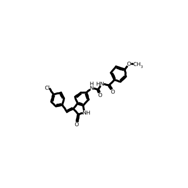 COc1ccc(C(=O)NC(=O)Nc2ccc3c(c2)NC(=O)/C3=C/c2ccc(Cl)cc2)cc1